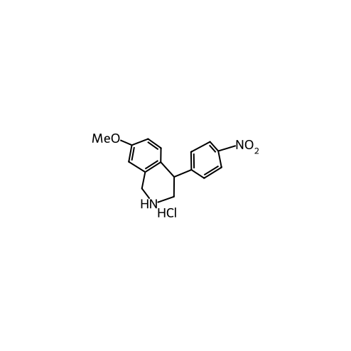 COc1ccc2c(c1)CNCC2c1ccc([N+](=O)[O-])cc1.Cl